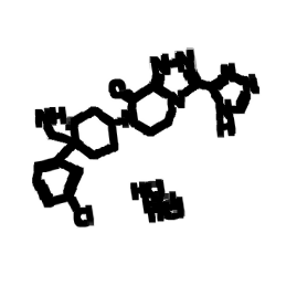 Cl.Cl.Cl.NC[C@]1(c2cccc(Cl)c2)CC[C@@H](N2CCn3c(nnc3-c3nnc[nH]3)C2=O)CC1